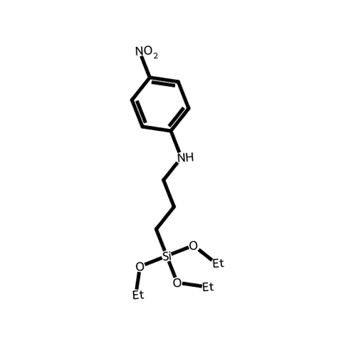 CCO[Si](CCCNc1ccc([N+](=O)[O-])cc1)(OCC)OCC